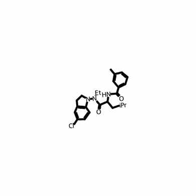 CCN(C(=O)C(CC(C)C)NC(=O)c1cccc(C)c1)N1CCc2cc(Cl)ccc21